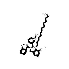 CCCCCCCCCCCCCCOc1c(Cl)cccc1CN(Cc1ccc[n+](CC)c1)C(=O)c1ccccc1OC.[I-]